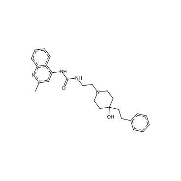 Cc1cc(NC(=O)NCCN2CCC(O)(CCc3ccccc3)CC2)c2ccccc2n1